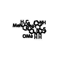 C=CC(=O)Nc1cc(NC2=NC(c3c[nH]c4ccccc34)=C3SC=CC3N2)c(OC)cc1N1CCC(NC)CC1